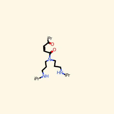 CC(C)NCCCN(CCCNC(C)C)C(=O)/C=C\C(=O)C(C)C